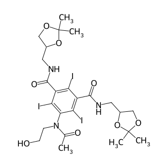 CC(=O)N(CCO)c1c(I)c(C(=O)NCC2COC(C)(C)O2)c(I)c(C(=O)NCC2COC(C)(C)O2)c1I